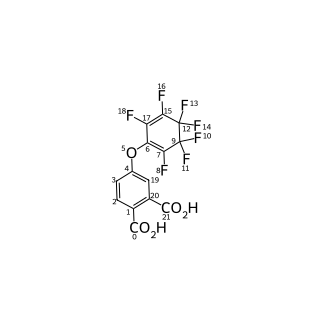 O=C(O)c1ccc(OC2=C(F)C(F)(F)C(F)(F)C(F)=C2F)cc1C(=O)O